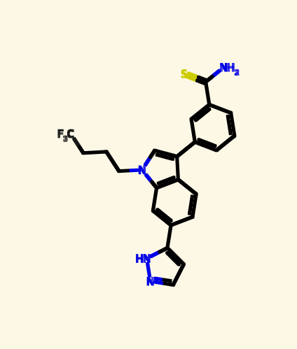 NC(=S)c1cccc(-c2cn(CCCC(F)(F)F)c3cc(-c4ccn[nH]4)ccc23)c1